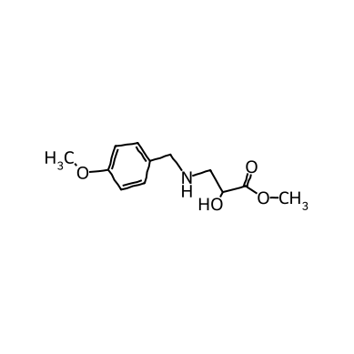 COC(=O)C(O)CNCc1ccc(OC)cc1